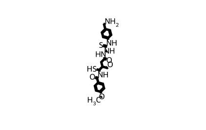 COc1ccc(C(=O)NC(S)C(C=O)CC(=O)NNC(=S)Nc2ccc(CN)cc2)cc1